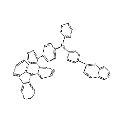 c1ccc(N(c2ccc(-c3ccc4ccccc4c3)cc2)c2ccc(-c3ccccc3-c3ccccc3-n3c4ccccc4c4ccccc43)cc2)cc1